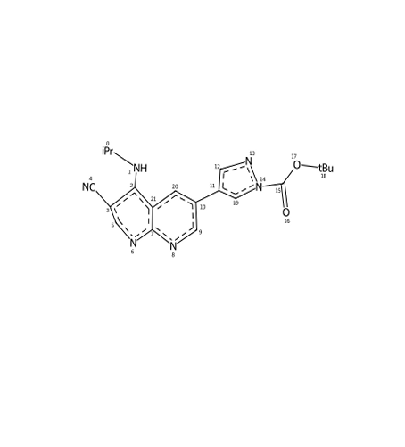 CC(C)Nc1c(C#N)cnc2ncc(-c3cnn(C(=O)OC(C)(C)C)c3)cc12